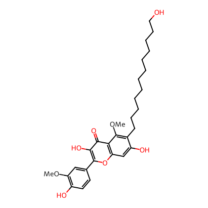 COc1cc(-c2oc3cc(O)c(CCCCCCCCCCCCO)c(OC)c3c(=O)c2O)ccc1O